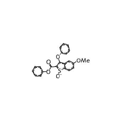 COc1ccc2c(c1)c(Oc1ccccc1)c(C(=O)Oc1ccccc1)[s+]2[O-]